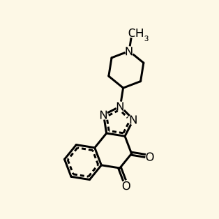 CN1CCC(n2nc3c(n2)-c2ccccc2C(=O)C3=O)CC1